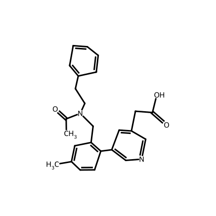 CC(=O)N(CCc1ccccc1)Cc1cc(C)ccc1-c1cncc(CC(=O)O)c1